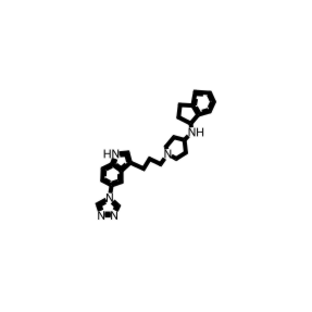 c1ccc2c(c1)CCC2NC1CCN(CCCc2c[nH]c3ccc(-n4cnnc4)cc23)CC1